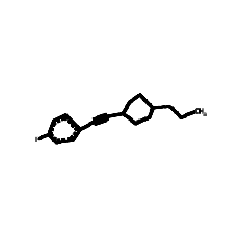 CCCC1CCC(C#Cc2ccc(F)cc2)CC1